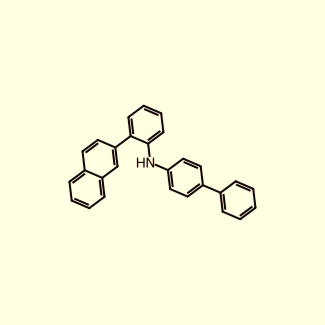 c1ccc(-c2ccc(Nc3ccccc3-c3ccc4ccccc4c3)cc2)cc1